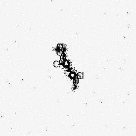 [CH2][CH]COc1ccc(C(C)(C)c2ccc(OCC(CCl)OC(C)=O)c(Cl)c2)cc1Cl